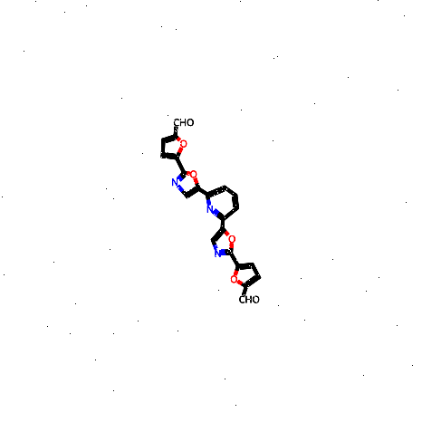 O=Cc1ccc(-c2ncc(-c3cccc(-c4cnc(-c5ccc(C=O)o5)o4)n3)o2)o1